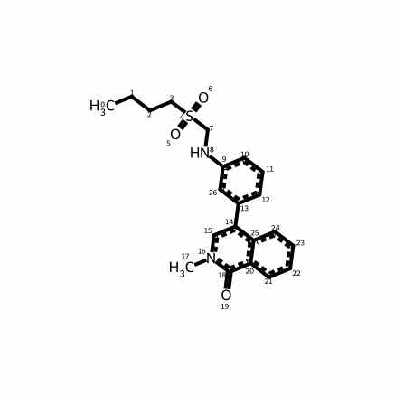 CCCCS(=O)(=O)CNc1cccc(-c2cn(C)c(=O)c3ccccc23)c1